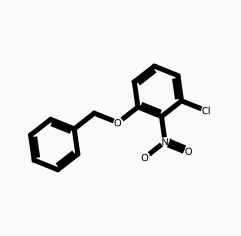 O=[N+]([O-])c1c(OCc2ccccc2)[c]ccc1Cl